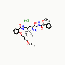 COCCCCOc1ccccc1C(=O)NCC(CC(N)C(O)CNC(=O)[C@H](OC)c1ccccc1)C(C)C.Cl